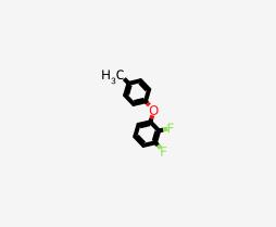 Cc1ccc(Oc2cccc(F)c2F)cc1